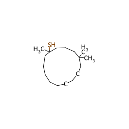 CC1(C)CCCCCCCCCC(C)(S)CCC1